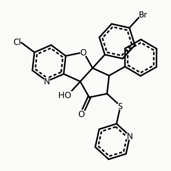 O=C1C(Sc2ccccn2)C(c2ccccc2)C2(c3ccc(Br)cc3)Oc3cc(Cl)cnc3C12O